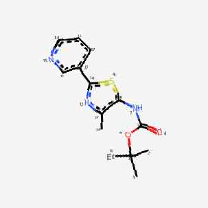 CCC(C)(C)OC(=O)Nc1sc(-c2cccnc2)nc1C